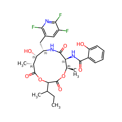 CCC(C)C1OC(=O)[C@H](C)[C@H](O)[C@H](Cc2cc(F)c(F)nc2F)NC(=O)[C@@H](NC(=O)c2ccccc2O)[C@@H](C)OC1=O